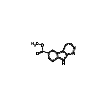 COC(=O)c1ccc2[nH]c3nnccc3c2c1